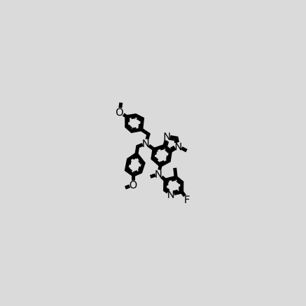 COc1ccc(CN(Cc2ccc(OC)cc2)c2cc(N(C)c3cnc(F)cc3C)cc3c2ncn3C)cc1